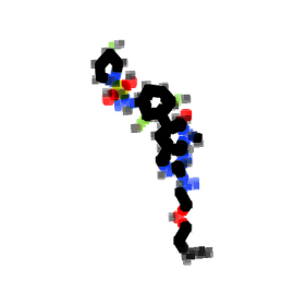 CC(=O)NCCOCCNc1ncc2cc(-c3c(F)ccc(NS(=O)(=O)N4CC[C@@H](F)C4)c3F)c(=O)n(C)c2n1